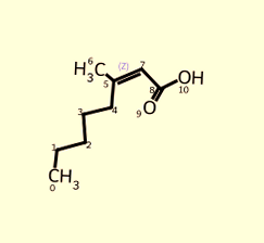 CCCCC/C(C)=C\C(=O)O